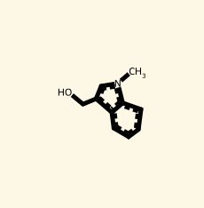 Cn1cc(CO)c2c[c]ccc21